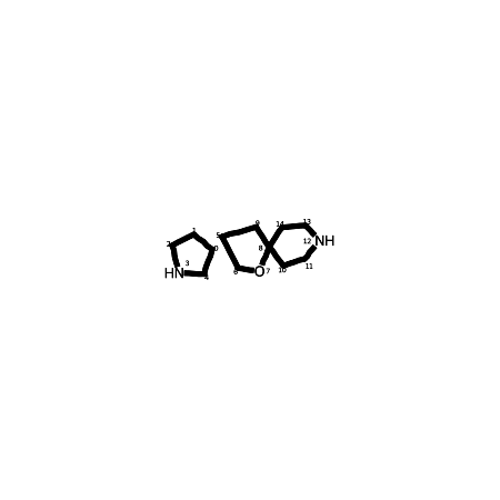 C1CCNC1.C1COC2(C1)CCNCC2